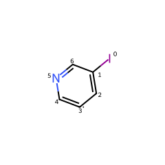 Ic1c[c]cnc1